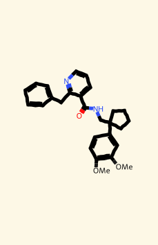 COc1ccc(C2(CNC(=O)c3cccnc3Cc3ccccc3)CCCC2)cc1OC